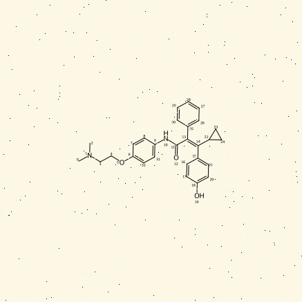 CN(C)CCOc1ccc(NC(=O)/C(=C(\c2ccc(O)cc2)C2CC2)c2ccccc2)cc1